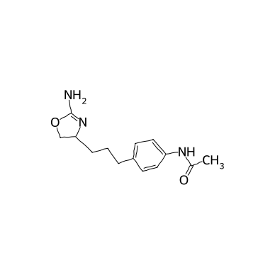 CC(=O)Nc1ccc(CCCC2COC(N)=N2)cc1